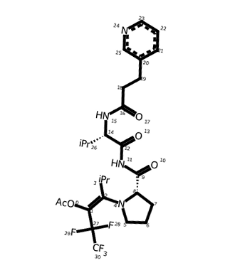 CC(=O)O/C(=C(\C(C)C)N1CCC[C@H]1C(=O)NC(=O)[C@@H](NC(=O)CCc1cccnc1)C(C)C)C(F)(F)C(F)(F)F